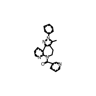 Cc1c2c(nn1-c1ccccc1)-c1cccnc1N(C(=O)c1cccnc1)CC2